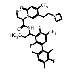 Cc1cc(C)c(-c2cc(C(F)(F)F)c(F)c(C(CC(=O)O)NC(=O)C(CC(C)C)n3cc(CCN4CCC4)c(C(F)(F)F)cc3=O)c2F)c(C)c1F